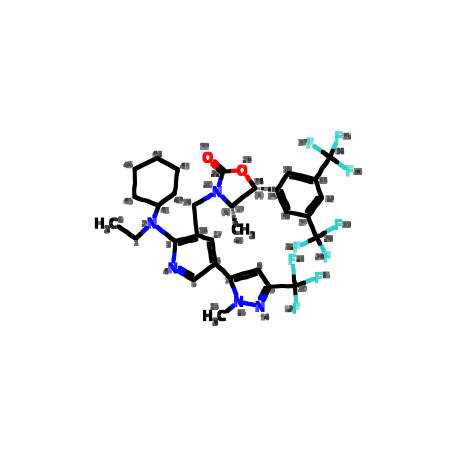 CCN(c1ncc(-c2cc(C(F)(F)F)nn2C)cc1CN1C(=O)O[C@H](c2cc(C(F)(F)F)cc(C(F)(F)F)c2)[C@@H]1C)C1CCCCC1